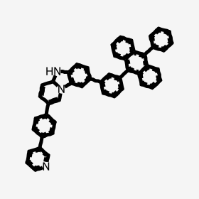 C1=CC2Nc3ccc(-c4cccc(-c5c6ccccc6c(-c6ccccc6)c6ccccc56)c4)cc3N2C=C1c1ccc(-c2cccnc2)cc1